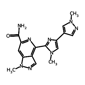 Cn1cc(-c2cn(C)c(-c3nc(C(N)=O)cc4c3cnn4C)n2)cn1